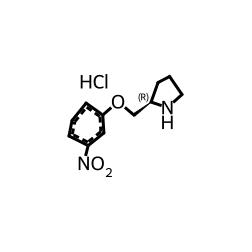 Cl.O=[N+]([O-])c1cccc(OC[C@H]2CCCN2)c1